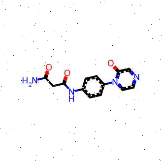 NC(=O)CC(=O)Nc1ccc(-n2ccncc2=O)cc1